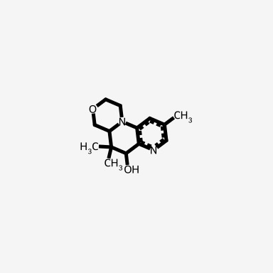 Cc1cnc2c(c1)N1CCOCC1C(C)(C)C2O